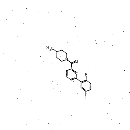 CC1CCN(C(=O)c2cccc(-c3cc(F)ccc3F)n2)CC1